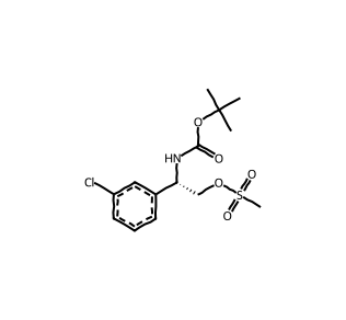 CC(C)(C)OC(=O)N[C@H](COS(C)(=O)=O)c1cccc(Cl)c1